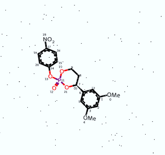 COc1cc(OC)cc([C@@H]2CCOP(=O)(Oc3ccc([N+](=O)[O-])cc3)O2)c1